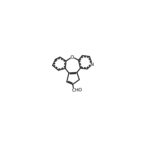 O=CC1=CC2=C(C1)c1cnccc1Oc1ccccc12